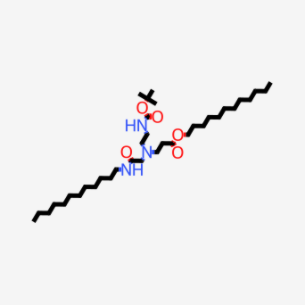 CCCCCCCCCCCCNC(=O)CN(CCNC(=O)OC(C)(C)C)CCC(=O)OCCCCCCCCCCCC